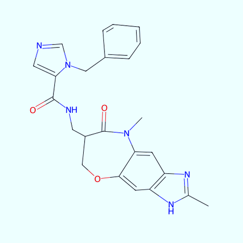 Cc1nc2cc3c(cc2[nH]1)OCC(CNC(=O)c1cncn1Cc1ccccc1)C(=O)N3C